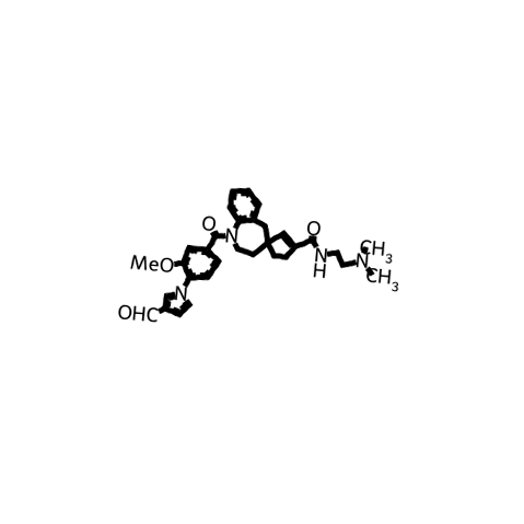 COc1cc(C(=O)N2CCC3(C=C(C(=O)NCCN(C)C)CC3)Cc3ccccc32)ccc1-n1ccc(C=O)c1